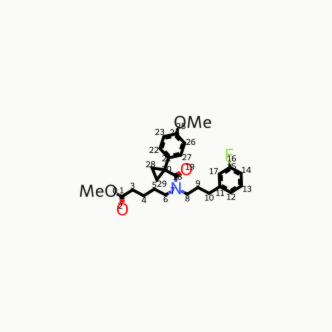 COC(=O)CCCCN(CCCc1cccc(F)c1)C(=O)C1(c2ccc(OC)cc2)CC1